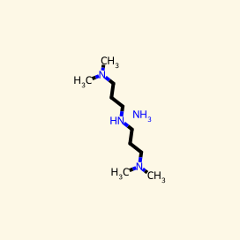 CN(C)CCCNCCCN(C)C.N